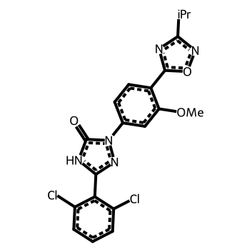 COc1cc(-n2nc(-c3c(Cl)cccc3Cl)[nH]c2=O)ccc1-c1nc(C(C)C)no1